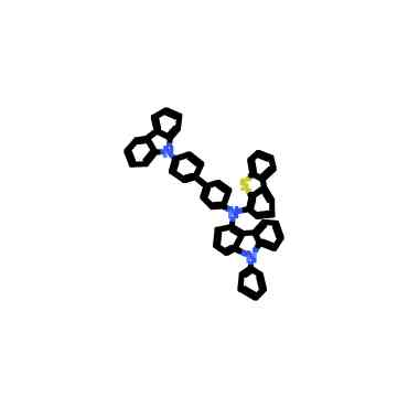 c1ccc(-n2c3ccccc3c3c(N(c4ccc(-c5ccc(-n6c7ccccc7c7ccccc76)cc5)cc4)c4cccc5c4sc4ccccc45)cccc32)cc1